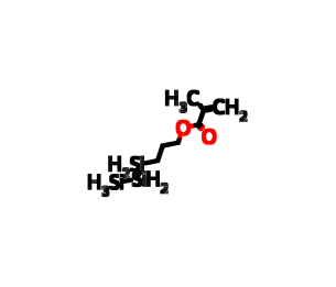 C=C(C)C(=O)OCCC[SiH2][SiH2][SiH3]